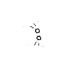 COCCN(CCOC)c1ccc2c(c1)Sc1cc(N(CCOC)CCOC)ccc1N2